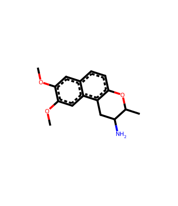 COc1cc2ccc3c(c2cc1OC)CC(N)C(C)O3